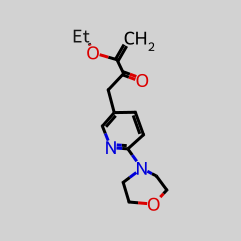 C=C(OCC)C(=O)Cc1ccc(N2CCOCC2)nc1